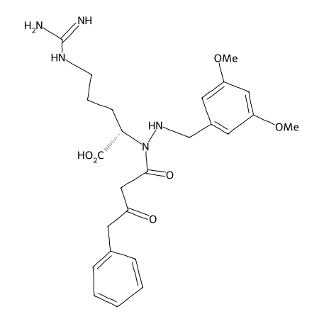 COc1cc(CNN(C(=O)CC(=O)Cc2ccccc2)[C@@H](CCCNC(=N)N)C(=O)O)cc(OC)c1